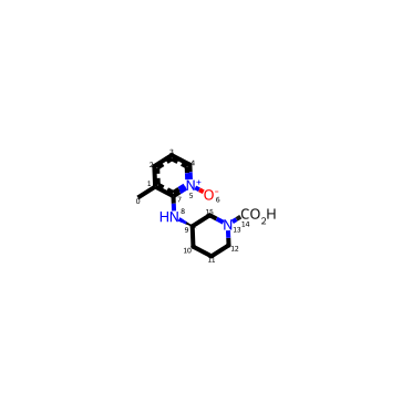 Cc1ccc[n+]([O-])c1N[C@@H]1CCCN(C(=O)O)C1